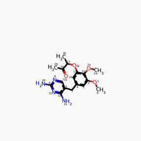 COc1cc(Cc2cnc(N)nc2N)cc(OC(C)C(C)=O)c1OC